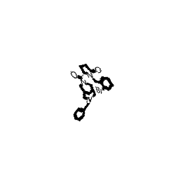 O=C([C@@H]1CCC(=O)N1Cc1ccccc1Br)N1CC2CC(CN(Cc3ccccc3)C2)C1